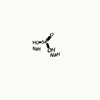 O=[Se](O)O.[NaH].[NaH]